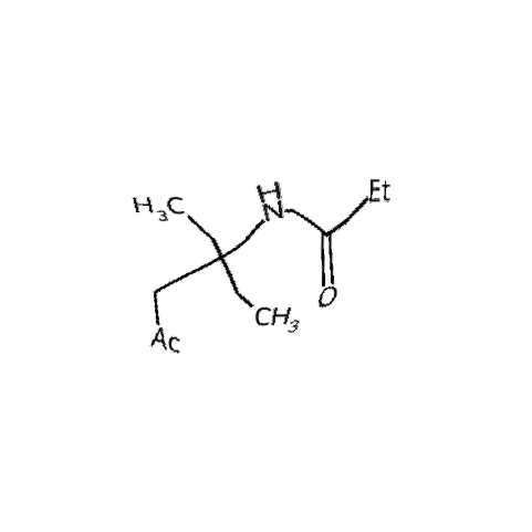 CCC(=O)NC(C)(C)CC(C)=O